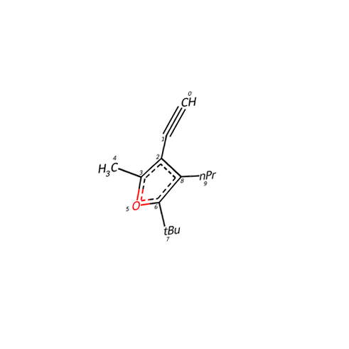 C#Cc1c(C)oc(C(C)(C)C)c1CCC